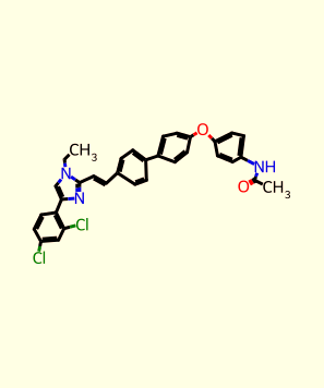 CCn1cc(-c2ccc(Cl)cc2Cl)nc1C=Cc1ccc(-c2ccc(Oc3ccc(NC(C)=O)cc3)cc2)cc1